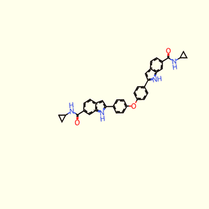 O=C(NC1CC1)c1ccc2cc(-c3ccc(Oc4ccc(-c5cc6ccc(C(=O)NC7CC7)cc6[nH]5)cc4)cc3)[nH]c2c1